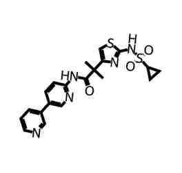 CC(C)(C(=O)Nc1ccc(-c2cccnc2)cn1)c1csc(NS(=O)(=O)C2CC2)n1